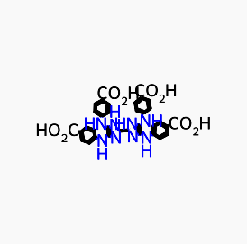 O=C(O)c1ccc(Nc2nc(-c3nc(Nc4ccc(C(=O)O)cc4)c(Nc4ccc(C(=O)O)cc4)[nH]3)[nH]c2Nc2ccc(C(=O)O)cc2)cc1